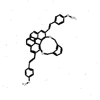 COc1ccc(/C=C/c2cc3ccccc3c3c2OCc2cccc(c2)COc2c(/C=C/c4ccc(OC)cc4)cc4ccccc4c2-3)cc1